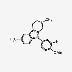 COc1ccc(-n2c3c(c4cc(C)ccc42)CCN(C)C3)cc1F